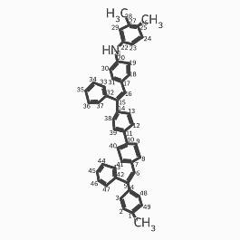 Cc1ccc(C(=Cc2ccc(-c3ccc(C(=Cc4ccc(Nc5ccc(C)c(C)c5)cc4)c4ccccc4)cc3)cc2)c2ccccc2)cc1